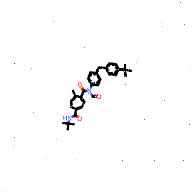 CC1=CCC(C(=O)NC(C)(C)C)=CC=C1C(=O)N(C=O)c1ccc(Cc2ccc(C(C)(C)C)cc2)cc1